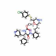 COC(=O)N[C@@H](C(=O)Nc1ccccc1CC[C@@H]1CNCC(CSc2ccc(Cl)cc2)O1)[C@H](c1ccccc1)c1ccncc1